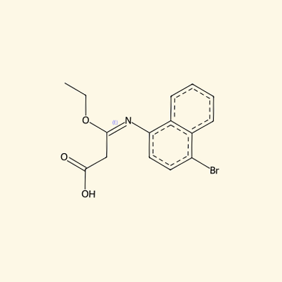 CCO/C(CC(=O)O)=N/c1ccc(Br)c2ccccc12